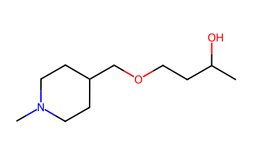 CC(O)CCOCC1CCN(C)CC1